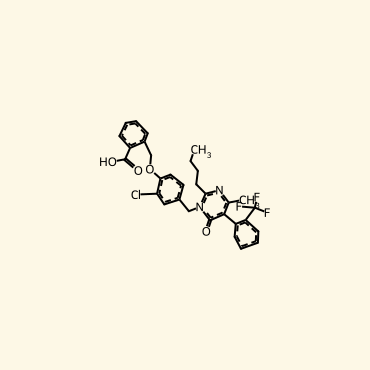 CCCCc1nc(C)c(-c2ccccc2C(F)(F)F)c(=O)n1Cc1ccc(OCc2ccccc2C(=O)O)c(Cl)c1